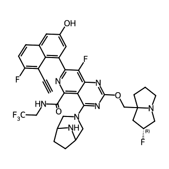 C#Cc1c(F)ccc2cc(O)cc(-c3nc(C(=O)NCC(F)(F)F)c4c(N5CC6CCC(C5)N6)nc(OCC56CCCN5C[C@H](F)C6)nc4c3F)c12